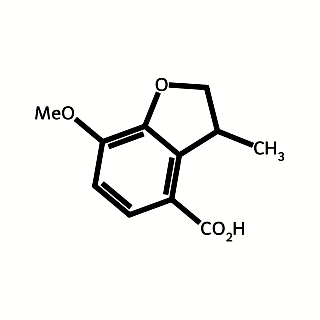 COc1ccc(C(=O)O)c2c1OCC2C